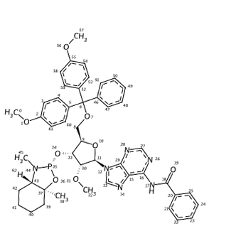 COc1ccc(C(OC[C@H]2O[C@@H](n3cnc4c(NC(=O)c5ccccc5)ncnc43)[C@H](OC)[C@@H]2O[P@]2O[C@@]3(C)CCCC[C@@H]3N2C)(c2ccccc2)c2ccc(OC)cc2)cc1